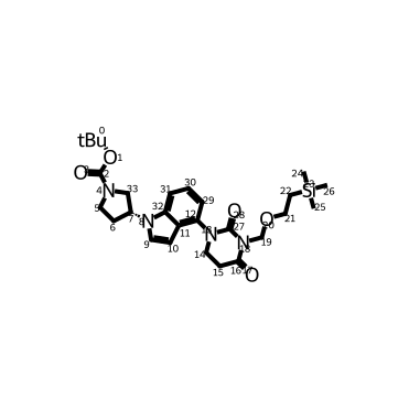 CC(C)(C)OC(=O)N1CC[C@@H](n2ccc3c(N4CCC(=O)N(COCC[Si](C)(C)C)C4=O)cccc32)C1